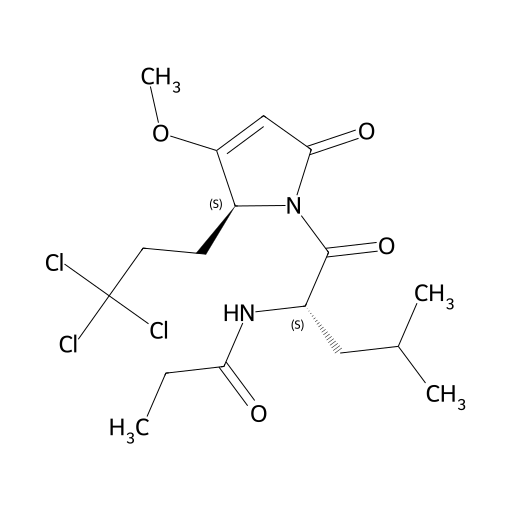 CCC(=O)N[C@@H](CC(C)C)C(=O)N1C(=O)C=C(OC)[C@@H]1CCC(Cl)(Cl)Cl